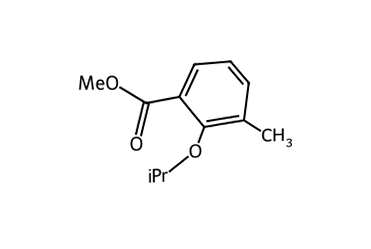 COC(=O)c1cccc(C)c1OC(C)C